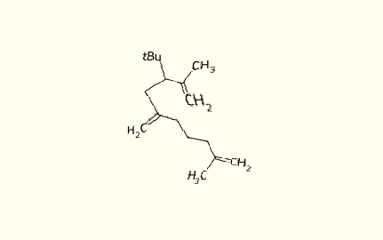 C=C(C)CCCC(=C)CC(C(=C)C)C(C)(C)C